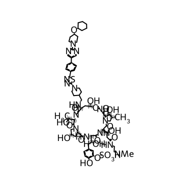 CNCCNC(=O)C[C@@H](O)[C@@H]1NC(=O)[C@H]([C@H](O)Cc2ccc(O)c(OS(=O)(=O)O)c2)NC(=O)[C@@H]2C[C@@H](O)CN2C(=O)[C@H]([C@@H](C)O)NC(=O)[C@@H](NCC2CCN(c3nnc(-c4ccc(-c5cnc(N6CCC(OC7CCCCC7)CC6)nc5)cc4)s3)CC2)C[C@@H](O)CNC(=O)[C@@H]2[C@@H](O)[C@@H](C)CN2C1=O